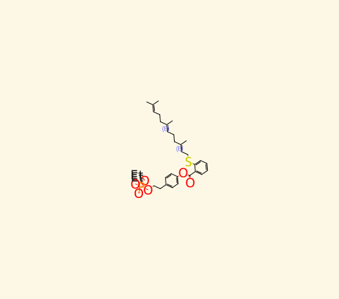 CCOP(=O)(OCC)OCCc1ccc(OC(=O)c2ccccc2SC/C=C(\C)CC/C=C(\C)CCC=C(C)C)cc1